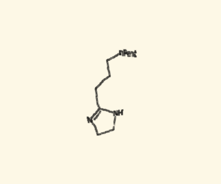 CCCCCCCCC1=NCCN1